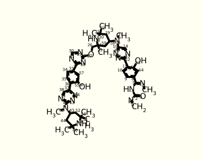 C=NC(=O)N/C(=N\C)c1ccc(-c2ncc(N(C)C3CC(C)(C)NC(C)(COc4ncnc(-c5ccc(-c6cnc(N(C)C7CC(C)(C)NC(C)(C)C7)nn6)c(O)c5)n4)C3)nn2)c(O)c1